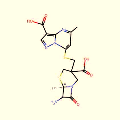 Cc1cc(SCC2(C(=O)O)CS[C@@H]3C(N)C(=O)N3C2)n2ncc(C(=O)O)c2n1